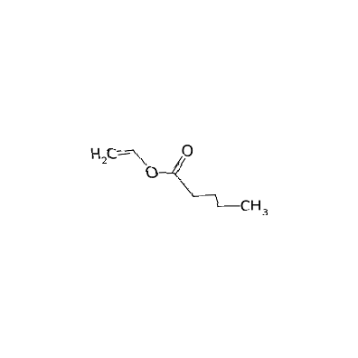 C=COC(=O)CCCC